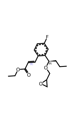 CCC[C@@H](OCC1CO1)c1cc(F)ccc1/C=C/C(=O)OCC